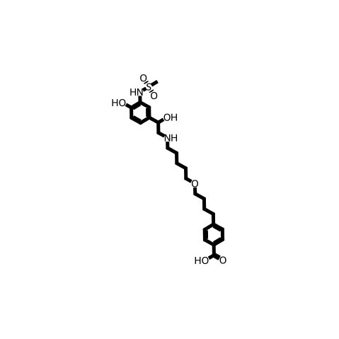 CS(=O)(=O)Nc1cc(C(O)CNCCCCCOCCCCc2ccc(C(=O)O)cc2)ccc1O